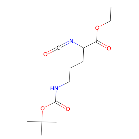 CCOC(=O)C(CCCNC(=O)OC(C)(C)C)N=C=O